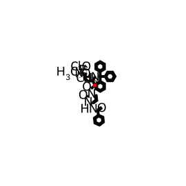 CN(C)P(=O)(Cl)OCC1OC(n2ccc(NC(=O)c3ccccc3)nc2=O)CC1NC(c1ccccc1)(c1ccccc1)c1ccccc1